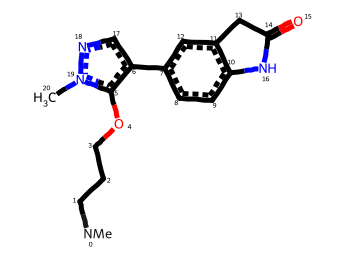 CNCCCOc1c(-c2ccc3c(c2)CC(=O)N3)cnn1C